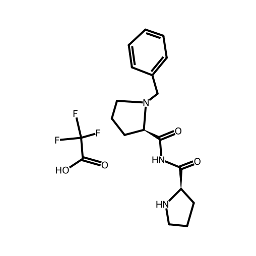 O=C(NC(=O)[C@H]1CCCN1)[C@H]1CCCN1Cc1ccccc1.O=C(O)C(F)(F)F